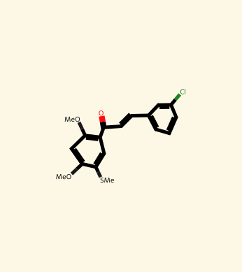 COc1cc(OC)c(C(=O)C=Cc2cccc(Cl)c2)cc1SC